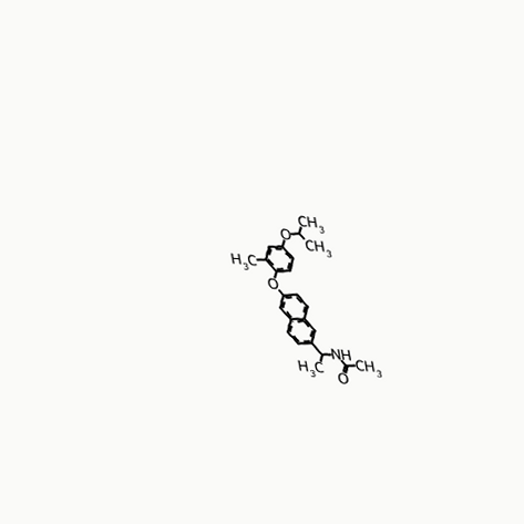 CC(=O)NC(C)c1ccc2cc(Oc3ccc(OC(C)C)cc3C)ccc2c1